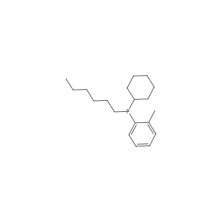 CCCCCCP(c1ccccc1C)C1CCCCC1